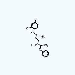 Cl.NC(Oc1ccccc1)C(O)CCCNc1ccc(Cl)cc1Cl